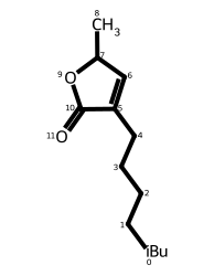 CCC(C)CCCCC1=CC(C)OC1=O